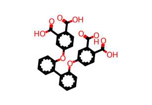 O=C(O)c1ccc(Oc2ccccc2-c2ccccc2Oc2ccc(C(=O)O)c(C(=O)O)c2)cc1C(=O)O